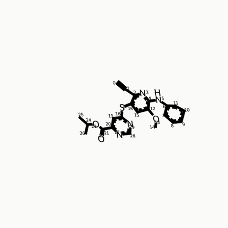 C#Cc1nc(Nc2ccccc2)c(OC)cc1Sc1cc(C(=O)OC(C)C)ncn1